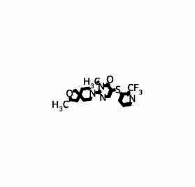 C[C@H]1CC2(CCN(c3ncc(Sc4cccnc4C(F)(F)F)c(=O)n3C)CC2)CO1